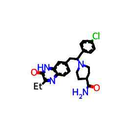 CCc1nc2ccc(CC(c3ccc(Cl)cc3)N3CCC(C(N)=O)CC3)cc2[nH]c1=O